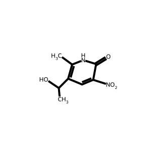 Cc1[nH]c(=O)c([N+](=O)[O-])cc1C(C)O